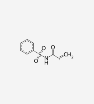 C=[C]C(=O)NS(=O)(=O)c1ccccc1